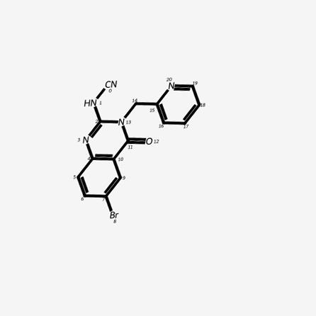 N#CNc1nc2ccc(Br)cc2c(=O)n1Cc1ccccn1